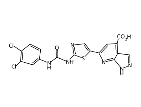 O=C(Nc1ccc(Cl)c(Cl)c1)Nc1ncc(-c2cc(C(=O)O)c3cn[nH]c3n2)s1